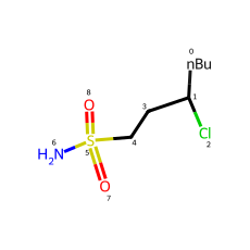 CCCCC(Cl)CCS(N)(=O)=O